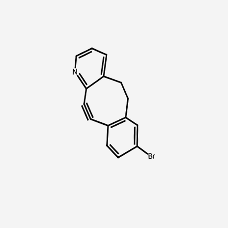 Brc1ccc2c(c1)CCc1cccnc1C#C2